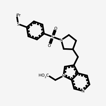 CC(C)Sc1ccc(S(=O)(=O)N2CCC(Cc3cn(CC(=O)O)c4cnccc34)C2)cc1